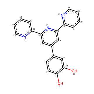 Oc1ccc(-c2cc(-c3ccccn3)nc(-c3ccccn3)c2)cc1O